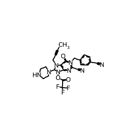 CC#CCN1c2c(nc(C#N)n(Cc3ccc(C#N)cc3)c2=O)N(OC(=O)C(F)(F)F)C1N1CCNCC1